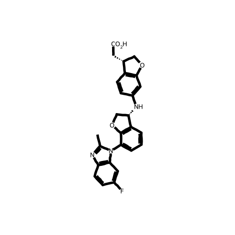 Cc1nc2ccc(F)cc2n1-c1cccc2c1OC[C@@H]2Nc1ccc2c(c1)OC[C@H]2CC(=O)O